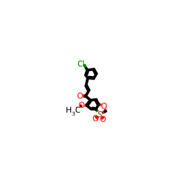 COc1cc2c(cc1C(=O)/C=C/c1cccc(Cl)c1)OCS2(=O)=O